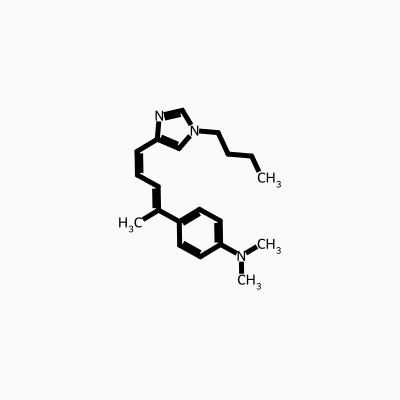 CCCCn1cnc(/C=C\C=C(/C)c2ccc(N(C)C)cc2)c1